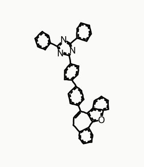 C1=C(c2ccc(-c3ccc(-c4nc(-c5ccccc5)nc(-c5ccccc5)n4)cc3)cc2)c2c(oc3ccccc23)-c2ccccc2C1